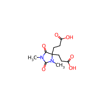 CN1C(=O)N(C)C(CCC(=O)O)(CCC(=O)O)C1=O